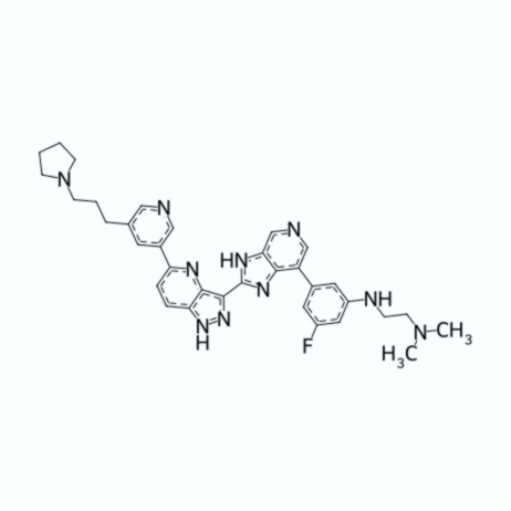 CN(C)CCNc1cc(F)cc(-c2cncc3[nH]c(-c4n[nH]c5ccc(-c6cncc(CCCN7CCCC7)c6)nc45)nc23)c1